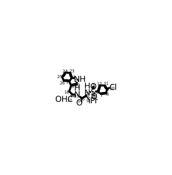 CC(C)[C@H](NS(=O)(=O)c1ccc(Cl)cc1)C(=O)N[C@H](C=O)Cc1c[nH]c2ccccc12